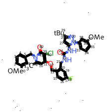 COc1cccc(Cn2c(C)cc(OCc3ccc(F)cc3CNC(=O)Nc3cc(C(C)(C)C)nn3-c3cccc(OC)c3)c(Cl)c2=O)c1